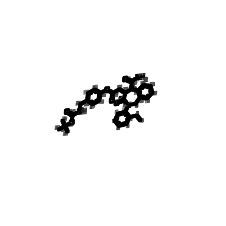 CCc1ccccc1N1Cc2ccccc2N(C(N)=O)C(CC(=O)Oc2ccc(CNC(=O)OC(C)(C)C)cc2)C1=O